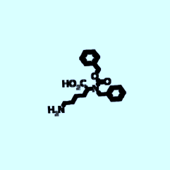 NCCCC[C@@H](C(=O)O)N(Cc1ccccc1)C(=O)OCc1ccccc1